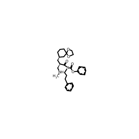 CNC[C@@H](C[C@H]1CCCC2(C1)OCCO2)C(=O)N(CCCc1ccccc1)C(=O)Oc1ccccc1